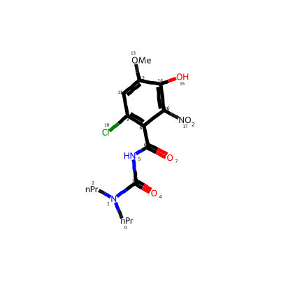 CCCN(CCC)C(=O)NC(=O)c1c(Cl)cc(OC)c(O)c1[N+](=O)[O-]